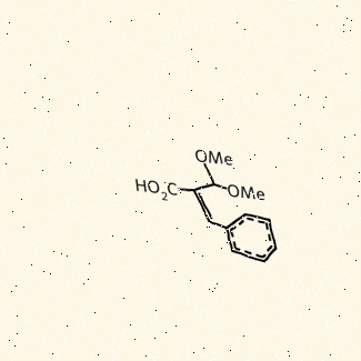 COC(OC)C(=Cc1ccccc1)C(=O)O